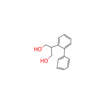 OCC(CO)c1ccccc1-c1ccccc1